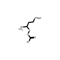 C.CCCCCCCCCC(CC)SOC(=O)CC